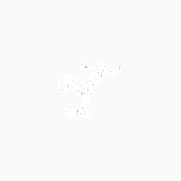 CN1CCC[C@H]1COc1nc2c(c(N3CCN(C(=O)/C=C/CF)[C@@H](CC#N)C3)n1)CC[C@]1(CCc3ccccc31)C2